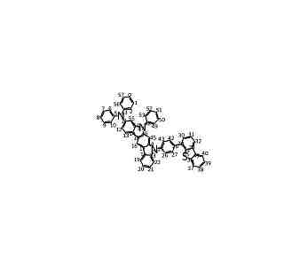 c1ccc(N(c2ccccc2)c2ccc3c4cc5c6ccccc6n(-c6ccc(-c7cccc8c7sc7ccccc78)cc6)c5cc4n(-c4ccccc4)c3c2)cc1